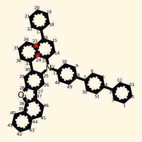 c1ccc(-c2ccc(-c3ccc(N(c4ccc(-c5ccccc5)cc4)c4cc5c(cc4-c4ccccc4)oc4c6ccccc6ccc54)cc3)cc2)cc1